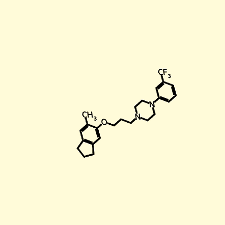 Cc1cc2c(cc1OCCCN1CCN(c3cccc(C(F)(F)F)c3)CC1)CCC2